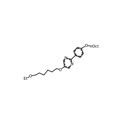 CCCCCCCCOc1ccc(-c2ncc(OCCCCCCOCC)cn2)cc1